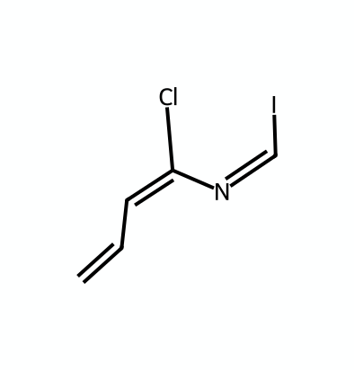 C=C/C=C(Cl)\N=C/I